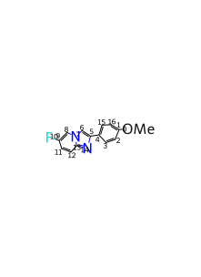 COc1ccc(-c2cn3cc(F)ccc3n2)cc1